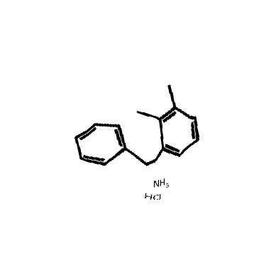 Cc1cccc(Cc2ccccc2)c1C.Cl.N